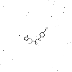 CCN(Cc1cccs1)C(=O)COc1ccc(C#N)cc1